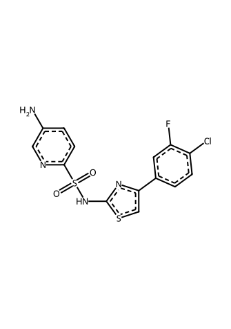 Nc1ccc(S(=O)(=O)Nc2nc(-c3ccc(Cl)c(F)c3)cs2)nc1